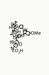 C=C[C@@H]1C[C@]1(NC(=O)[C@@H]1C[C@@H](Oc2cc(-c3ccccc3)nc3cc(OC)ccc23)CN1C(=O)[C@@H](CC(=O)N1CCC(N(C)C(=O)O)CC1)C(C)(C)C)C(=O)NS(=O)(=O)C1CC1